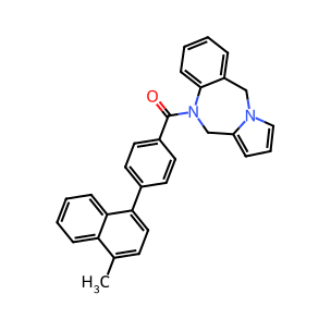 Cc1ccc(-c2ccc(C(=O)N3Cc4cccn4Cc4ccccc43)cc2)c2ccccc12